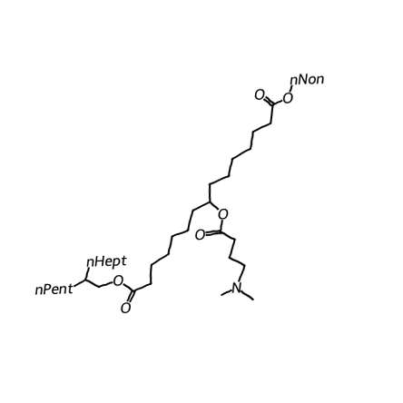 CCCCCCCCCOC(=O)CCCCCCC(CCCCCCC(=O)OCC(CCCCC)CCCCCCC)OC(=O)CCCN(C)C